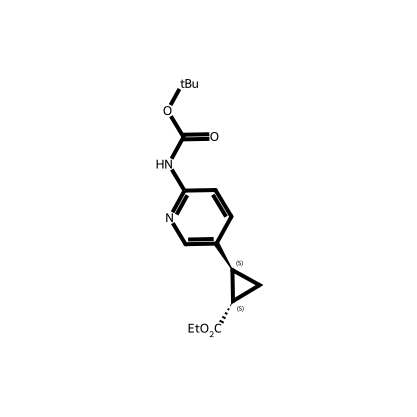 CCOC(=O)[C@H]1C[C@@H]1c1ccc(NC(=O)OC(C)(C)C)nc1